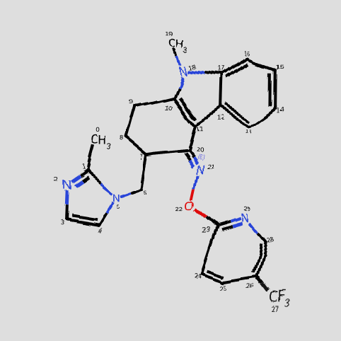 Cc1nccn1CC1CCc2c(c3ccccc3n2C)/C1=N/Oc1ccc(C(F)(F)F)cn1